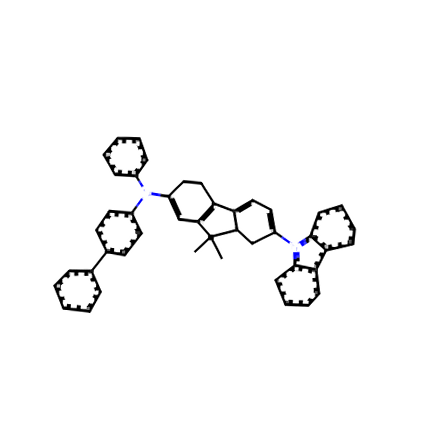 CC1(C)C2=C(CCC(N(c3ccccc3)c3ccc(-c4ccccc4)cc3)=C2)C2=CC=C(n3c4ccccc4c4ccccc43)CC21